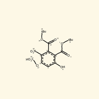 CC(C)(C)OC(=O)c1c(O)ccc([N+](=O)[O-])c1C(=O)OC(C)(C)C.O=C(O)Cl